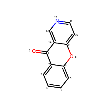 O=c1c2ccccc2oc2ccncc12